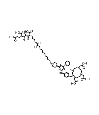 CN1CCN(CC(=O)O)CCN(CC(=O)O)CCN(CC(=O)O)C(Cc2ccc(Nc3nc(N4CCCCC4)nc(N4CCN(CCCCCCCCCCC(=O)NCCCC[C@H](NC(=O)N[C@@H](CCC(=O)O)C(=O)O)C(=O)O)CC4)n3)cc2)C1